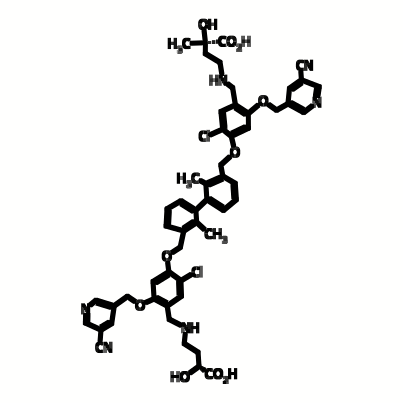 Cc1c(COc2cc(OCc3cncc(C#N)c3)c(CNCC[C@H](O)C(=O)O)cc2Cl)cccc1-c1cccc(COc2cc(OCc3cncc(C#N)c3)c(CNCC[C@@](C)(O)C(=O)O)cc2Cl)c1C